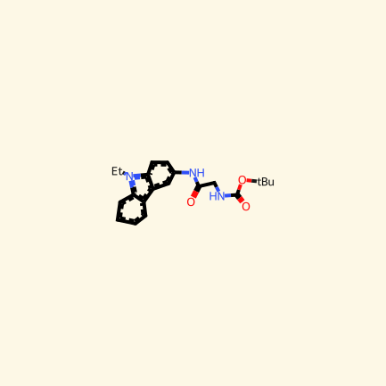 CCn1c2ccccc2c2cc(NC(=O)CNC(=O)OC(C)(C)C)ccc21